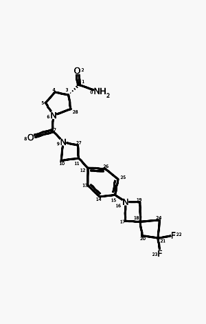 NC(=O)[C@H]1CCN(C(=O)N2CC(c3ccc(N4CC5(C4)CC(F)(F)C5)cc3)C2)C1